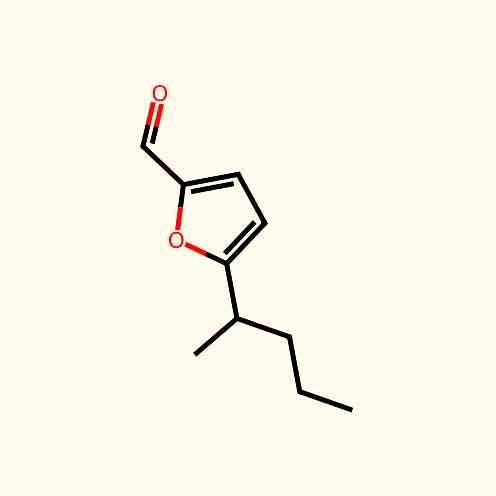 CCCC(C)c1ccc(C=O)o1